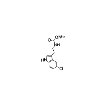 COC(=O)NCCc1c[nH]c2ccc(Cl)cc12